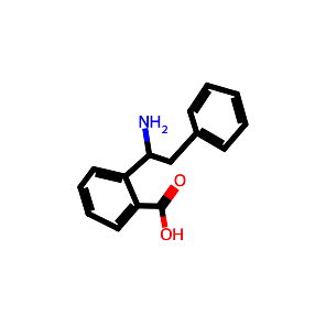 NC(Cc1ccccc1)c1ccccc1C(=O)O